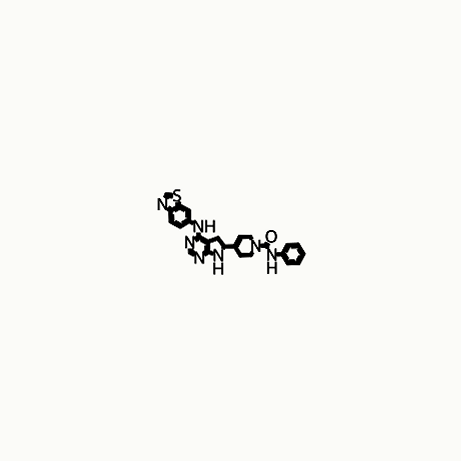 O=C(Nc1ccccc1)N1CC=C(C2Cc3c(Nc4ccc5ncsc5c4)ncnc3N2)CC1